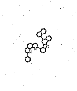 c1ccc(-c2ccc3ccc4ccc(-c5cccc6oc7c8ccccc8c(-c8cccc9ccccc89)cc7c56)nc4c3n2)cc1